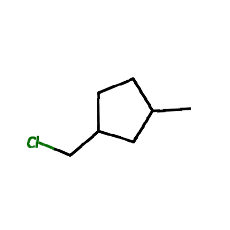 CC1CCC(CCl)C1